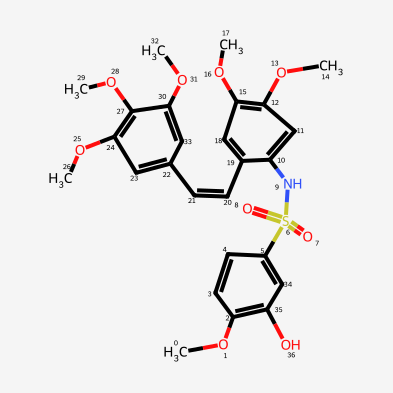 COc1ccc(S(=O)(=O)Nc2cc(OC)c(OC)cc2C=Cc2cc(OC)c(OC)c(OC)c2)cc1O